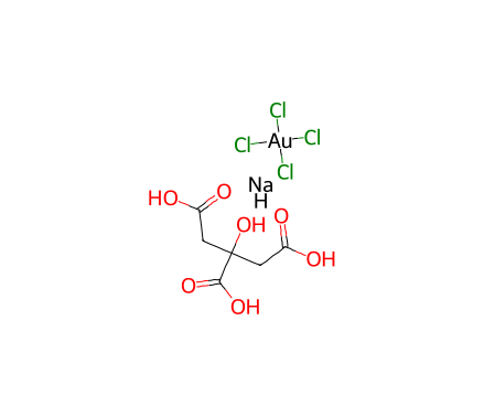 O=C(O)CC(O)(CC(=O)O)C(=O)O.[Cl][Au]([Cl])([Cl])[Cl].[NaH]